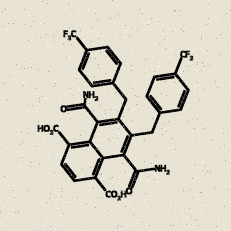 NC(=O)c1c(Cc2ccc(C(F)(F)F)cc2)c(Cc2ccc(C(F)(F)F)cc2)c(C(N)=O)c2c(C(=O)O)ccc(C(=O)O)c12